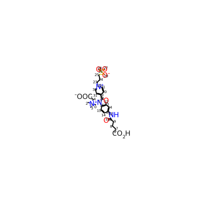 C[N+](C)(C)CC(=O)[O-].O=C(O)CCCC(=O)Nc1ccc2nc(-c3cc[n+](CCCS(=O)(=O)[O-])cc3)oc2c1